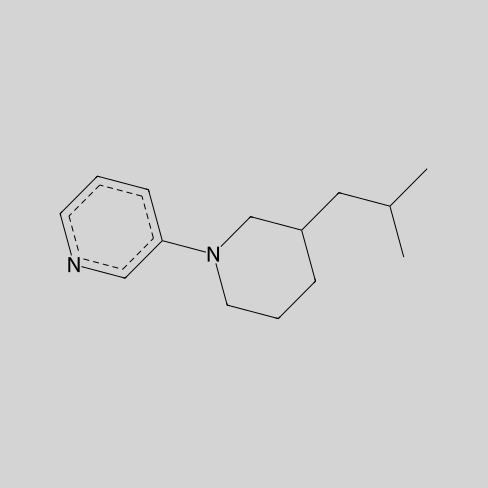 CC(C)CC1CCCN(c2cccnc2)C1